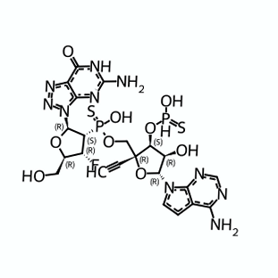 C#C[C@]1(COP(O)(=S)[C@@H]2[C@H](F)[C@@H](CO)O[C@H]2n2nnc3c(=O)[nH]c(N)nc32)O[C@@H](n2ccc3c(N)ncnc32)[C@H](O)[C@@H]1O[PH](O)=S